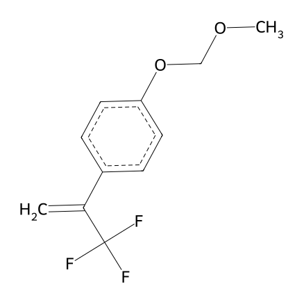 C=C(c1ccc(OCOC)cc1)C(F)(F)F